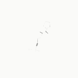 C[Si](C)(C)C#CCOC(=O)C(=O)N1CCCC1